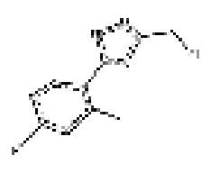 Cc1cc(F)ccc1-c1noc(CCl)n1